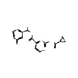 CC(NC(=O)c1ccnc(NC(=O)C2CC2)n1)c1cccc(C(F)(F)F)c1